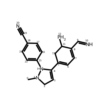 CN1CC=C(C2=CC=C(C=N)C(P)C2)N1c1ccc(C#N)cc1